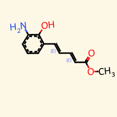 COC(=O)/C=C/C=C/c1cccc(N)c1O